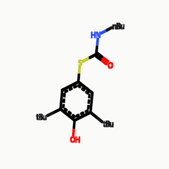 CCCCNC(=O)Sc1cc(C(C)(C)C)c(O)c(C(C)(C)C)c1